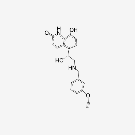 C#COc1cccc(CNC[C@H](O)c2ccc(O)c3[nH]c(=O)ccc23)c1